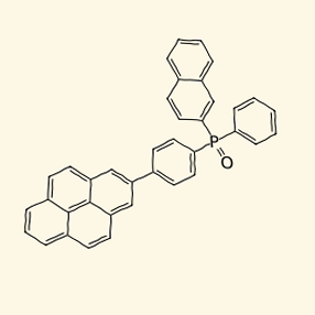 O=P(c1ccccc1)(c1ccc(-c2cc3ccc4cccc5ccc(c2)c3c45)cc1)c1ccc2ccccc2c1